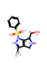 O=S(=O)(c1ccccc1)n1nc(C(F)(F)F)c2c1C(CO)NC2